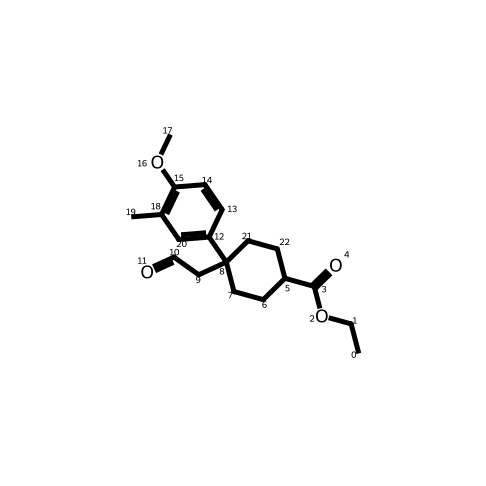 CCOC(=O)C1CCC(CC=O)(c2ccc(OC)c(C)c2)CC1